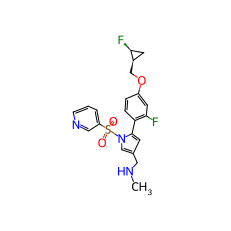 CNCc1cc(-c2ccc(OC[C@@H]3C[C@@H]3F)cc2F)n(S(=O)(=O)c2cccnc2)c1